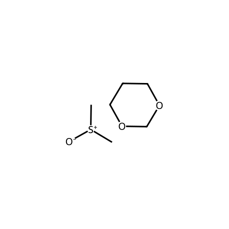 C1COCOC1.C[S+](C)[O-]